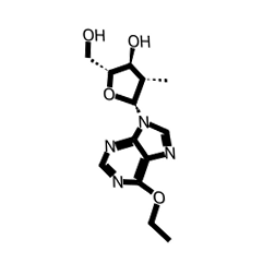 CCOc1ncnc2c1ncn2[C@@H]1O[C@H](CO)[C@@H](O)[C@@H]1C